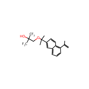 C=C(C)c1cccc2cc(C(C)(C)OCC(O)(C(F)(F)F)C(F)(F)F)ccc12